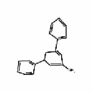 NC1=CC(c2ccccc2)CC(c2ccccc2)=C1